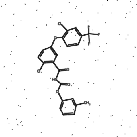 Cc1cccc(OC(=O)NC(=O)c2cc(Oc3ccc(C(F)(F)F)cc3Cl)ccc2Cl)c1